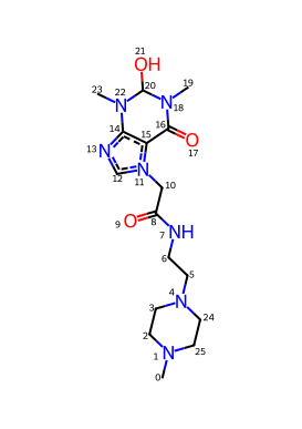 CN1CCN(CCNC(=O)Cn2cnc3c2C(=O)N(C)C(O)N3C)CC1